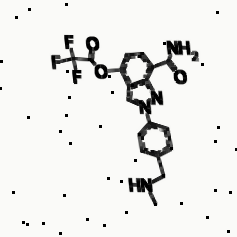 CNCc1ccc(-n2cc3c(OC(=O)C(F)(F)F)ccc(C(N)=O)c3n2)cc1